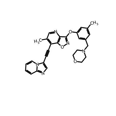 Cc1cc(CN2CCOCC2)cc(Oc2noc3c(C#Cc4cnc5ccccn45)c(C)cnc23)c1